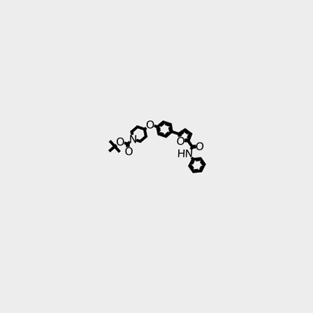 CC(C)(C)OC(=O)N1CCC(Oc2ccc(-c3ccc(C(=O)Nc4ccccc4)o3)cc2)CC1